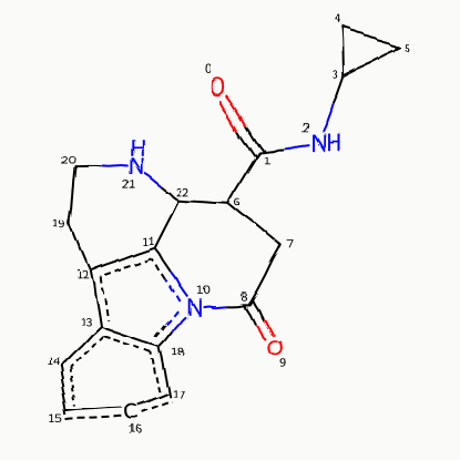 O=C(NC1CC1)C1CC(=O)n2c3c(c4ccccc42)CCNC31